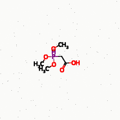 CO[PH](CC(=O)O)(OC)OC